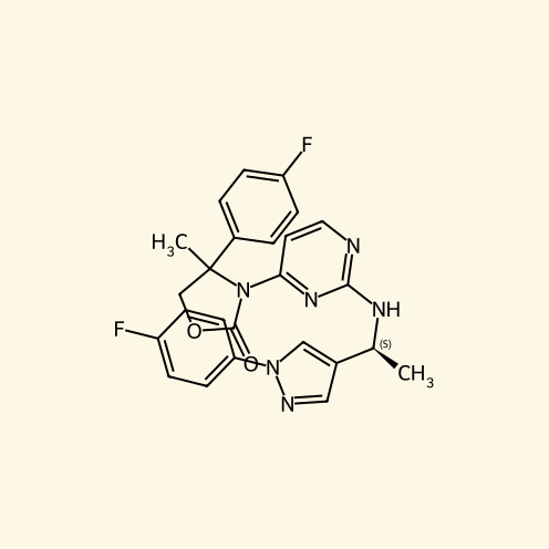 C[C@H](Nc1nccc(N2C(=O)OCC2(C)c2ccc(F)cc2)n1)c1cnn(-c2ccc(F)cc2)c1